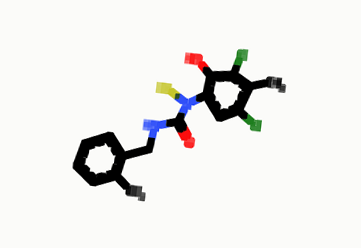 Cc1ccccc1CNC(=O)N(S)c1cc(Cl)c(C)c(Cl)c1O